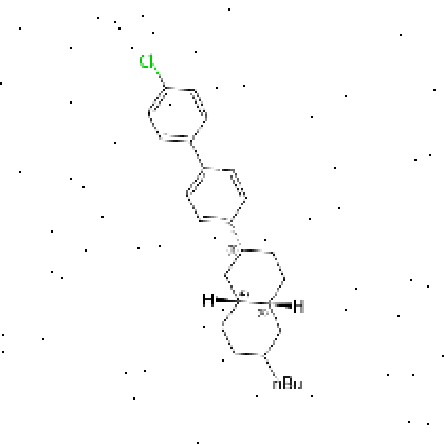 CCCCC1CC[C@@H]2C[C@H](c3ccc(-c4ccc(Cl)cc4)cc3)CC[C@@H]2C1